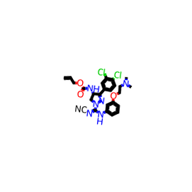 C=CCOC(=O)NC1CN(/C(=N\C#N)Nc2cccc(OCCN(C)C)c2)N=C1c1ccc(Cl)c(Cl)c1